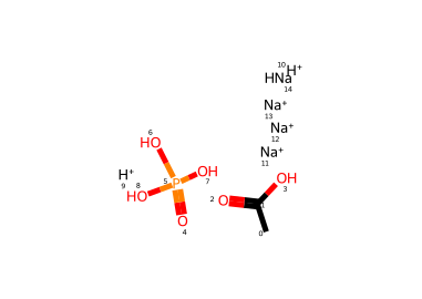 CC(=O)O.O=P(O)(O)O.[H+].[H+].[Na+].[Na+].[Na+].[NaH]